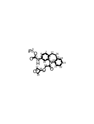 CC(C)OC(=O)Nc1ccc2c(c1)N(C(=O)COC1COC1)c1ccccc1CC2